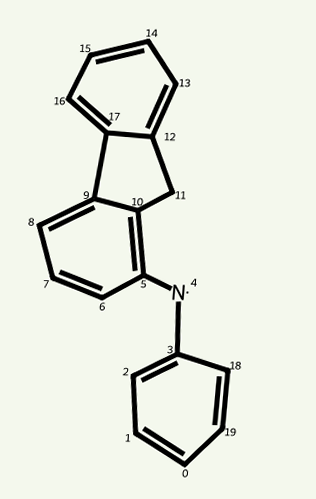 c1ccc([N]c2cccc3c2Cc2ccccc2-3)cc1